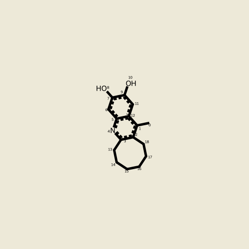 Cc1c2c(nc3cc(O)c(O)cc13)CCCCCC2